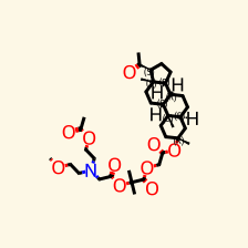 COCCN(CCOC(C)=O)CC(=O)OC(C)(C)C(=O)OCC(=O)O[C@]1(C)CC[C@@]2(C)[C@@H](CC[C@@H]3[C@@H]2CC[C@]2(C)[C@@H](C(C)=O)CC[C@@H]32)C1